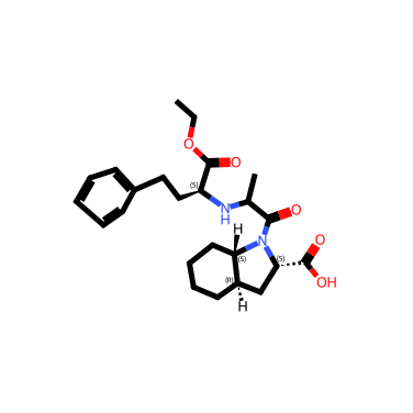 CCOC(=O)[C@H](CCc1ccccc1)NC(C)C(=O)N1[C@H](C(=O)O)C[C@H]2CCCC[C@@H]21